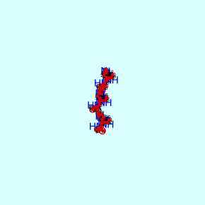 COCc1ccccc1NCc1nc(-c2ccc3nc(COc4cc(NCc5nc(-c6ccc7nc(COc8ccc(NCc9nc(-c%10ccc%11ncnn%11c%10)c(-c%10cccc(C)n%10)[nH]9)cc8OC)nn7c6)c(-c6cccc(C)n6)[nH]5)cc(OC)c4)nn3c2)c(-c2cccc(C)n2)[nH]1